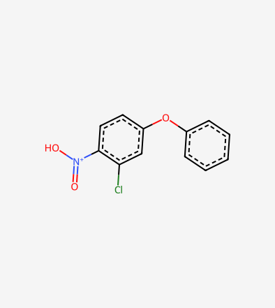 O=[N+](O)c1ccc(Oc2ccccc2)cc1Cl